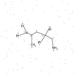 CCN(C(C)C)C(C)CC(CN)(C(C)C)C(C)C